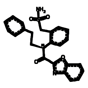 NS(=O)(=O)Cc1ccccc1[C@H](CCc1ccccc1)C(=O)c1nc2ccccc2o1